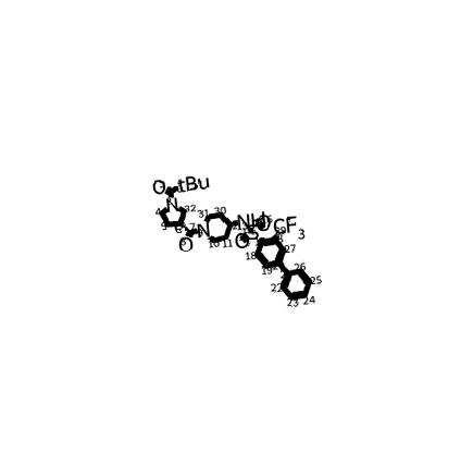 CC(C)(C)C(=O)N1CC[C@H](C(=O)N2CCC(NS(=O)(=O)c3ccc(-c4ccccc4)cc3C(F)(F)F)CC2)C1